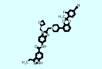 CCc1n[nH]c2ccc(C(=O)Nc3ccc4c(c3)nc(CN3CC=C(c5cccc6c5OC(C)(c5ccc(C#N)cc5F)O6)CC3)n4C[C@@H]3CCO3)cc12